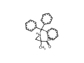 CC1(C(=O)O)C[N@@]1C(c1ccccc1)(c1ccccc1)c1ccccc1